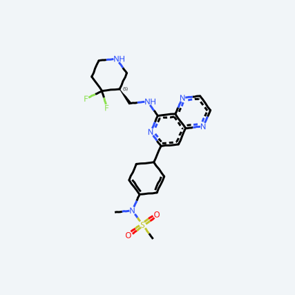 CN(C1=CCC(c2cc3nccnc3c(NC[C@@H]3CNCCC3(F)F)n2)C=C1)S(C)(=O)=O